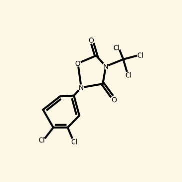 O=c1on(-c2ccc(Cl)c(Cl)c2)c(=O)n1C(Cl)(Cl)Cl